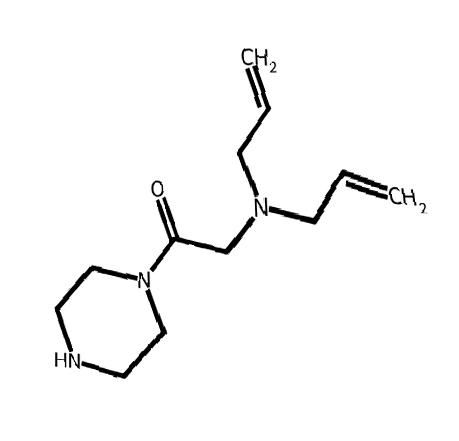 C=CCN(CC=C)CC(=O)N1CCNCC1